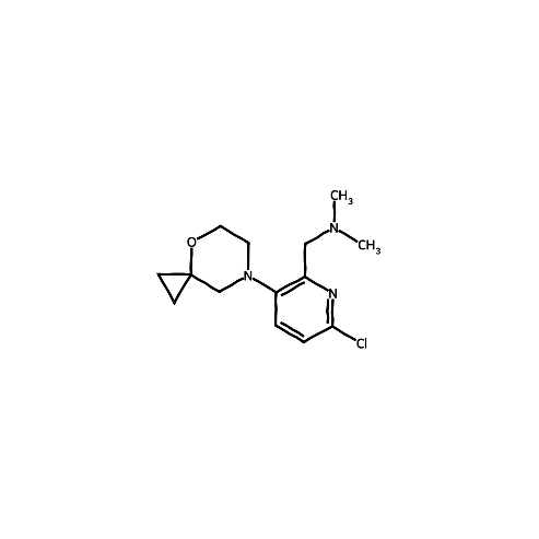 CN(C)Cc1nc(Cl)ccc1N1CCOC2(CC2)C1